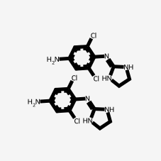 Nc1cc(Cl)c(N=C2NCCN2)c(Cl)c1.Nc1cc(Cl)c(N=C2NCCN2)c(Cl)c1